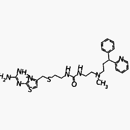 CN(CCNC(=O)NCCSCc1csc(N=C(N)N)n1)CCC(c1ccccc1)c1ccccn1